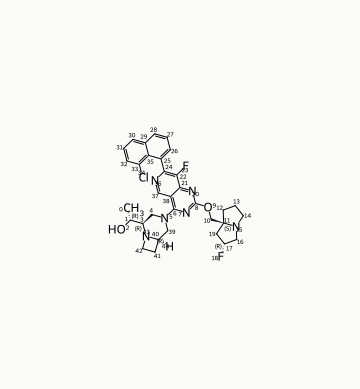 C[C@@H](O)[C@H]1CN(c2nc(OC[C@@]34CCCN3C[C@H](F)C4)nc3c(F)c(-c4cccc5cccc(Cl)c45)ncc23)C[C@H]2CCN21